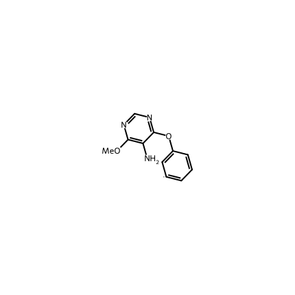 COc1ncnc(Oc2c[c]ccc2)c1N